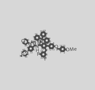 COc1ccc(COc2ccc(-c3cc4c(cc3Cc3cc(F)cc(F)c3)c(NC(=O)c3ccc(N5CCN(C)CC5)cc3N(C(C)=O)C3CCOCC3)nn4C(c3ccccc3)(c3ccccc3)c3ccccc3)cc2)cc1